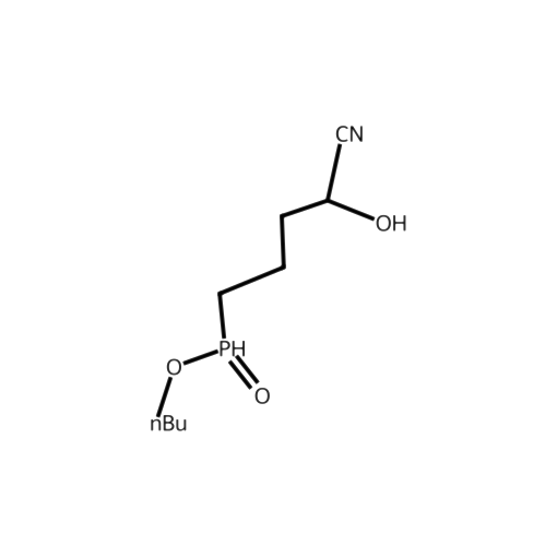 CCCCO[PH](=O)CCCC(O)C#N